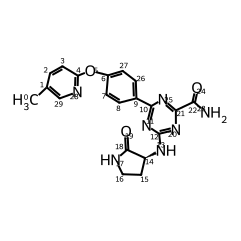 Cc1ccc(Oc2ccc(-c3nc(N[C@H]4CCNC4=O)nc(C(N)=O)n3)cc2)nc1